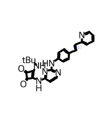 CC(C)(C)Nc1c(Nc2ccnc(Nc3ccc(/C=C/c4ccccn4)cc3)n2)c(=O)c1=O